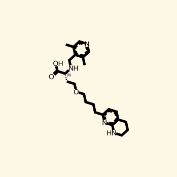 Cc1cncc(C)c1CN[C@H](CCOCCCCc1ccc2c(n1)NCCC2)C(=O)O